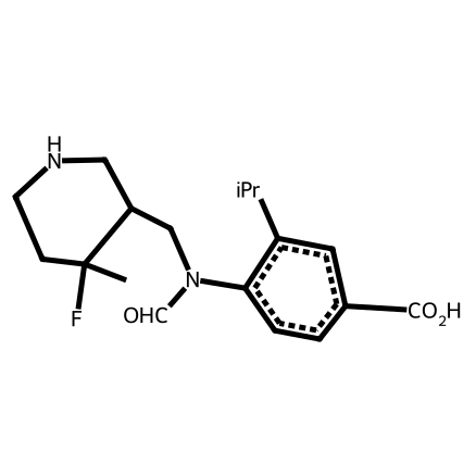 CC(C)c1cc(C(=O)O)ccc1N(C=O)CC1CNCCC1(C)F